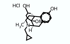 CO[C@@]12[C@H](C)CC(O)C[C@@]13CCN(CC1CC1)[C@@H]2Cc1ccc(O)cc13.Cl